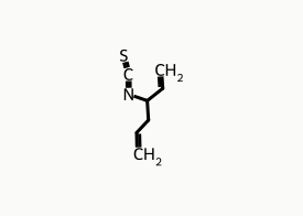 C=CCC(C=C)N=C=S